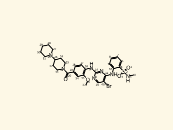 CNS(=O)(=O)c1ccccc1Nc1nc(Nc2ccc(C(=O)N3CCC(N4CCCCC4)CC3)cc2OC)ncc1Br